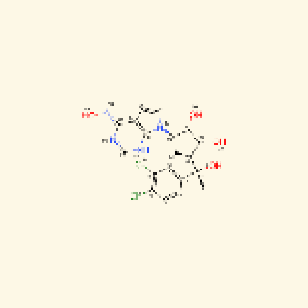 C[C@@](O)(c1ccc(Cl)c(Cl)c1)[C@H]1C[C@@H](n2ccc3/c(=N/O)nc[nH]c32)[C@H](O)[C@@H]1O